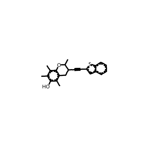 Cc1c(C)c2c(c(C)c1O)CC(C#Cc1cc3ccccc3s1)C(C)O2